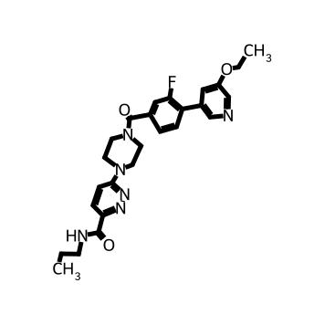 CCCNC(=O)c1ccc(N2CCN(C(=O)c3ccc(-c4cncc(OCC)c4)c(F)c3)CC2)nn1